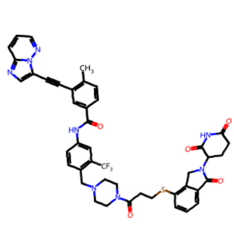 Cc1ccc(C(=O)Nc2ccc(CN3CCN(C(=O)CCSc4cccc5c4CN(C4CCC(=O)NC4=O)C5=O)CC3)c(C(F)(F)F)c2)cc1C#Cc1cnc2cccnn12